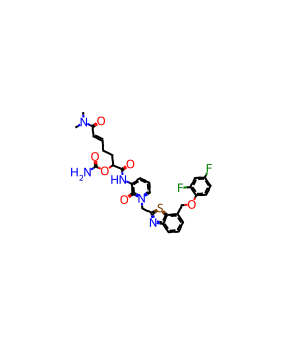 CN(C)C(=O)C=CCCC(OC(N)=O)C(=O)Nc1cccn(Cc2nc3cccc(COc4ccc(F)cc4F)c3s2)c1=O